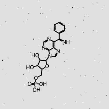 N=C(c1ccccc1)c1ncnc2c1ncn2C1OC(COP(=O)(O)O)C(O)C1O